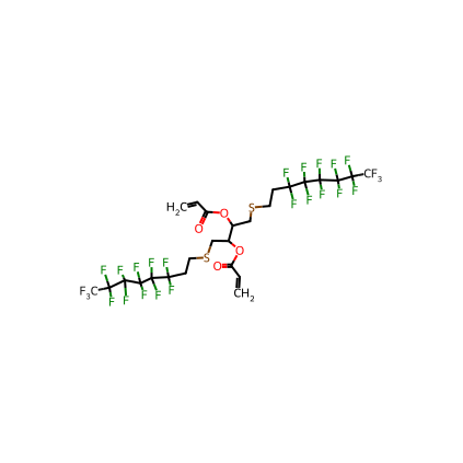 C=CC(=O)OC(CSCCC(F)(F)C(F)(F)C(F)(F)C(F)(F)C(F)(F)C(F)(F)F)C(CSCCC(F)(F)C(F)(F)C(F)(F)C(F)(F)C(F)(F)C(F)(F)F)OC(=O)C=C